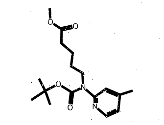 COC(=O)CCCCN(C(=O)OC(C)(C)C)c1cc(C)ccn1